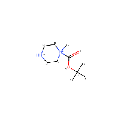 CC(C)(C)OC(=O)[N+]1(C)CCNCC1